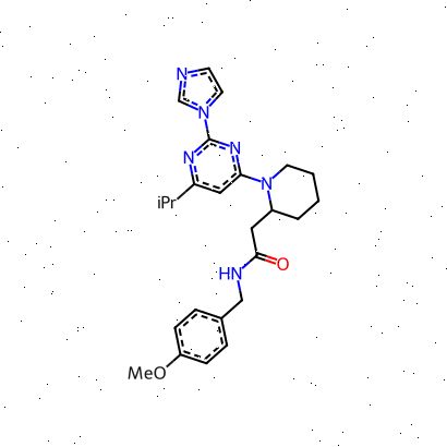 COc1ccc(CNC(=O)CC2CCCCN2c2cc(C(C)C)nc(-n3ccnc3)n2)cc1